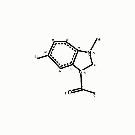 CC(=O)N1CN(C)c2ccc(C)cc21